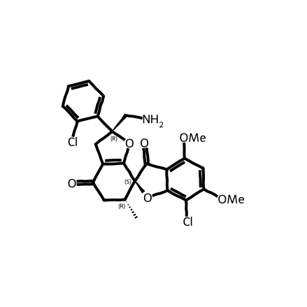 COc1cc(OC)c2c(c1Cl)O[C@]1(C2=O)C2=C(C[C@](CN)(c3ccccc3Cl)O2)C(=O)C[C@H]1C